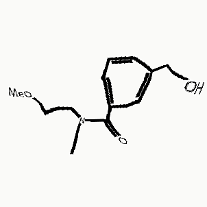 COCCN(C)C(=O)c1cccc(CO)c1